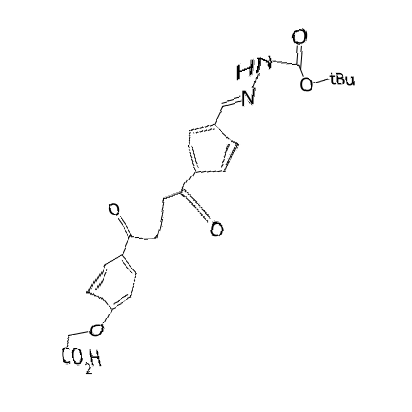 CC(C)(C)OC(=O)NN=Cc1ccc(C(=O)CCC(=O)c2ccc(OCC(=O)O)cc2)cc1